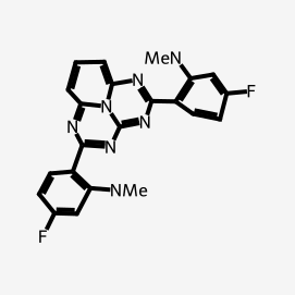 CNc1cc(F)ccc1C1=NC2=CC=CC3=NC(c4ccc(F)cc4NC)=NC(=N1)N23